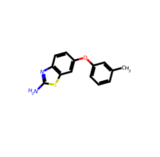 Cc1cccc(Oc2ccc3nc(N)sc3c2)c1